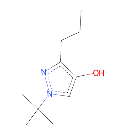 CCCc1nn(C(C)(C)C)cc1O